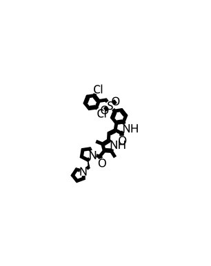 Cc1[nH]c(C=C2C(=O)Nc3ccc(S(=O)(=O)Cc4c(Cl)cccc4Cl)cc32)c(C)c1C(=O)N1CCC[C@@H]1CN1CCCC1